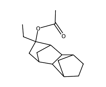 CCC1(OC(C)=O)CC2CC1C1C3CCC(C3)C21